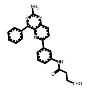 Nc1nc(-c2ccccc2)c2nc(-c3cccc(NC(=O)CCC=O)c3)ccc2n1